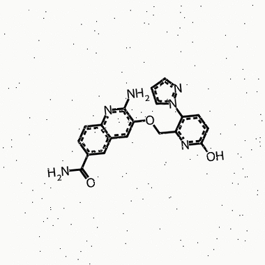 NC(=O)c1ccc2nc(N)c(OCc3nc(O)ccc3-n3cccn3)cc2c1